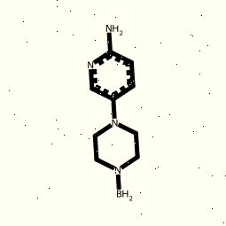 BN1CCN(c2ccc(N)nc2)CC1